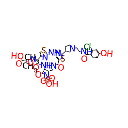 CC(C)(O/N=C(\C(=O)NC1C(=O)N(S(=O)(=O)O)C1CNC(=O)c1cnc(C2CCN(CCNC(=O)c3ccc(O)cc3Cl)C2)s1)c1csc(N)n1)C(=O)O